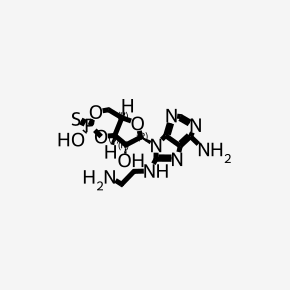 NCCNc1nc2c(N)ncnc2n1[C@@H]1O[C@@H]2COP(O)(=S)O[C@H]2[C@H]1O